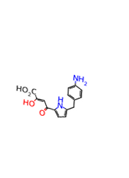 Nc1ccc(Cc2ccc(C(=O)C=C(O)C(=O)O)[nH]2)cc1